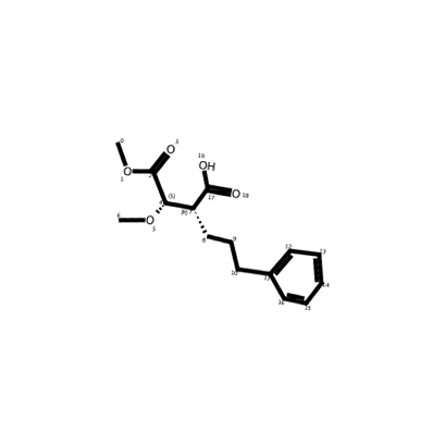 COC(=O)[C@@H](OC)[C@@H](CCCc1ccccc1)C(=O)O